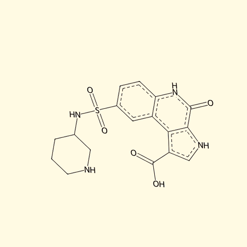 O=C(O)c1c[nH]c2c(=O)[nH]c3ccc(S(=O)(=O)NC4CCCNC4)cc3c12